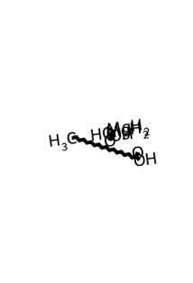 CCCCCCCCCCCCCCCCCC(=O)O.O=C(O)O.[MgH2].[MgH2]